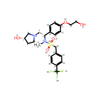 CN([C@H](CN1CC[C@H](O)C1)c1ccc(OCCO)cc1)S(=O)(=O)Cc1ccc(C(F)(F)F)cc1